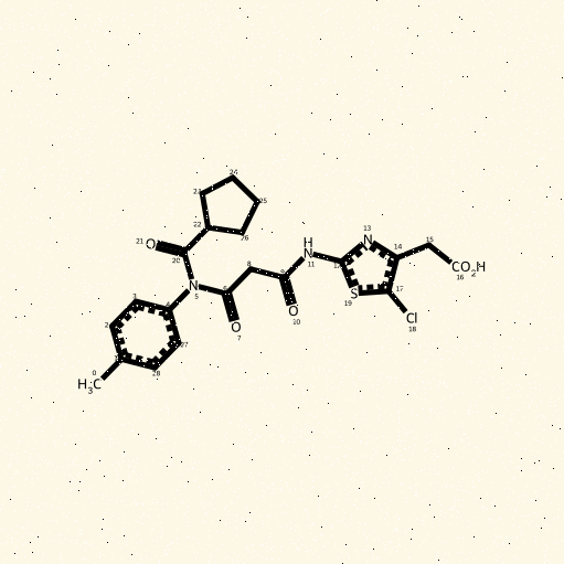 Cc1ccc(N(C(=O)CC(=O)Nc2nc(CC(=O)O)c(Cl)s2)C(=O)C2CCCC2)cc1